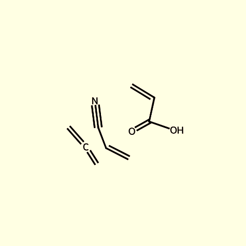 C=C=C.C=CC#N.C=CC(=O)O